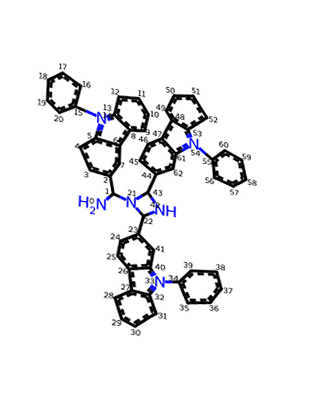 NC(c1ccc2c(c1)c1ccccc1n2-c1ccccc1)N1C(c2ccc3c4ccccc4n(-c4ccccc4)c3c2)NC1c1ccc2c3ccccc3n(-c3ccccc3)c2c1